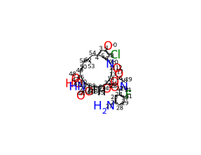 COc1cc2cc(c1Cl)N(C)C(=O)C[C@H](OC(=O)[C@H](C)N(C)C(=O)c1cc(N)ccc1F)[C@]1(C)O[C@H]1[C@H](C)[C@@H]1C[C@@](O)(NC(=O)O1)[C@H](OC)/C=C/C=C(\C)C2